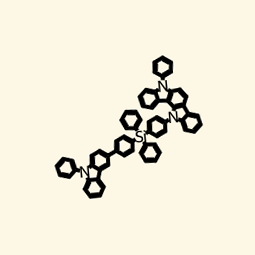 c1ccc(-n2c3ccccc3c3cc(-c4ccc([Si](c5ccccc5)(c5ccccc5)c5ccc(-n6c7ccccc7c7ccc8c(c9ccccc9n8-c8ccccc8)c76)cc5)cc4)ccc32)cc1